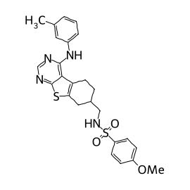 COc1ccc(S(=O)(=O)NCC2CCc3c(sc4ncnc(Nc5cccc(C)c5)c34)C2)cc1